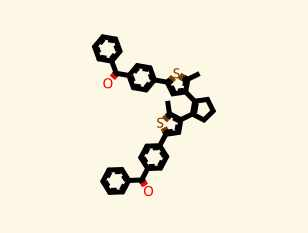 Cc1sc(-c2ccc(C(=O)c3ccccc3)cc2)cc1C1=C(c2cc(-c3ccc(C(=O)c4ccccc4)cc3)sc2C)CCC1